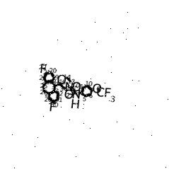 O=S(=O)(Nc1ccc(OC(F)(F)F)cc1)N1CCOC(C2c3ccc(F)cc3CCc3cc(F)ccc32)C1